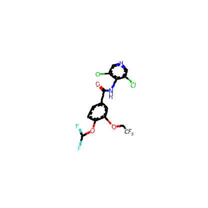 O=C(Nc1c(Cl)cncc1Cl)c1ccc(OC(F)F)c(OCC(F)(F)F)c1